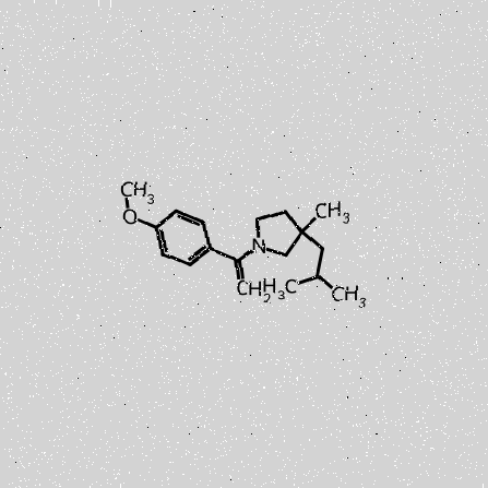 C=C(c1ccc(OC)cc1)N1CCC(C)(CC(C)C)C1